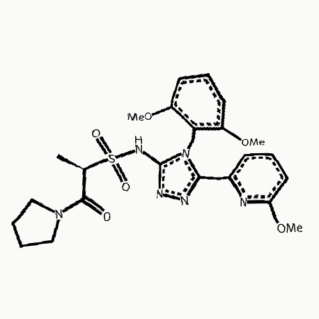 COc1cccc(-c2nnc(NS(=O)(=O)[C@H](C)C(=O)N3CCCC3)n2-c2c(OC)cccc2OC)n1